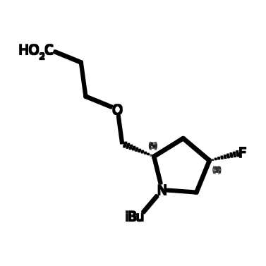 CCC(C)N1C[C@@H](F)C[C@H]1COCCC(=O)O